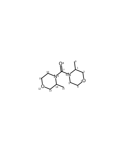 CC1COCCN1C(=O)N1CCOCC1C